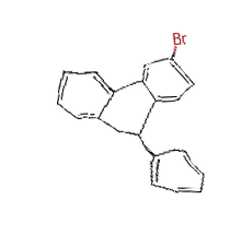 Brc1ccc2c(c1)-c1ccccc1CC2c1ccccc1